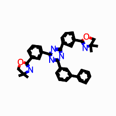 CC1(C)COC(c2cccc(-c3nc(-c4cccc(C5=NC(C)(C)CO5)c4)nc(-c4cccc(-c5ccccc5)c4)n3)c2)=N1